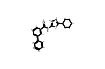 O=C(Nc1nnc(C2CCCCC2)o1)c1cccc(-c2cc#ccc2)c1